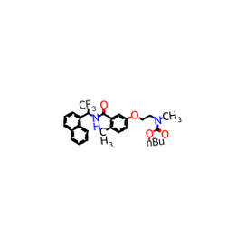 CCCCOC(=O)N(C)CCOc1ccc(C)c(C(=O)NC(c2cccc3ccccc23)C(F)(F)F)c1